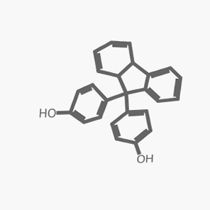 Oc1ccc(C2(c3ccc(O)cc3)c3ccccc3C3C=CC=CC32)cc1